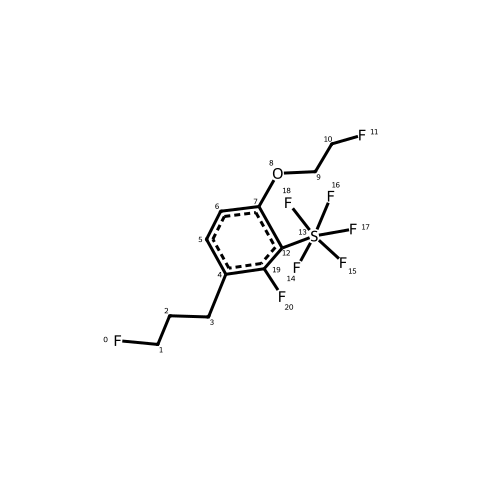 FCCCc1ccc(OCCF)c(S(F)(F)(F)(F)F)c1F